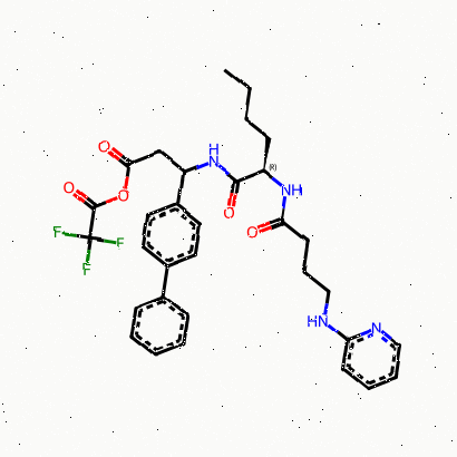 CCCC[C@@H](NC(=O)CCCNc1ccccn1)C(=O)NC(CC(=O)OC(=O)C(F)(F)F)c1ccc(-c2ccccc2)cc1